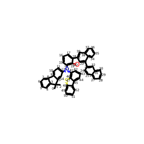 CC1(C)c2ccccc2-c2ccc(N(c3cccc4c3oc3c(-c5ccc6ccccc6c5)c5ccccc5cc34)c3cccc4c3sc3ccccc34)cc21